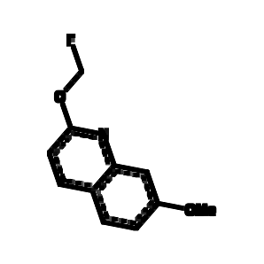 COc1ccc2ccc(OCF)nc2c1